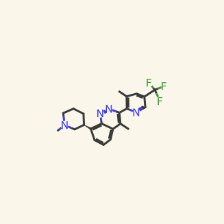 Cc1cc(C(F)(F)F)cnc1-c1nnc2c([C@@H]3CCCN(C)C3)cccc2c1C